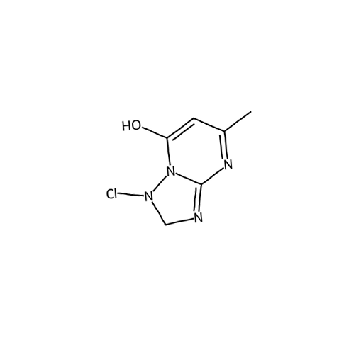 CC1=NC2=NCN(Cl)N2C(O)=C1